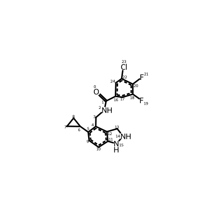 O=C(NCc1c(C2CC2)ccc2c1CNN2)c1cc(F)c(F)c(Cl)c1